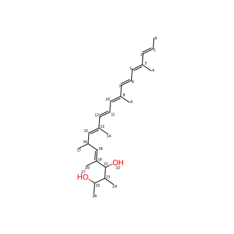 C/C=C/C(C)=C/C=C/C(C)=C/C=C/C(C)=C/C(C)/C=C(\C)C(O)C(C)C(C)O